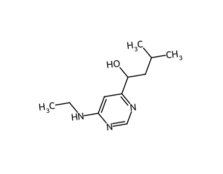 CCNc1cc(C(O)CC(C)C)ncn1